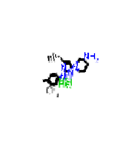 CCCc1cc(N2CCCC(N)C2)nc(Nc2ccc(C)c(C(F)(F)F)c2)n1.Cl.Cl